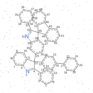 c1ccc(C2=Nc3ccccc3C2(c2ccc(-c3ccccc3)cc2)c2ccc3c(c2)N=C(c2ccccc2)C32c3ccccc3-c3ccccc32)cc1